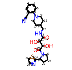 N#Cc1ccccc1N1CCC(CNC(=O)C(O)C(O)C(=O)N2CCCC2c2nccs2)CC1